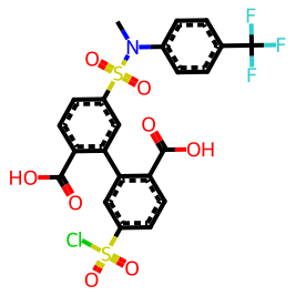 CN(c1ccc(C(F)(F)F)cc1)S(=O)(=O)c1ccc(C(=O)O)c(-c2cc(S(=O)(=O)Cl)ccc2C(=O)O)c1